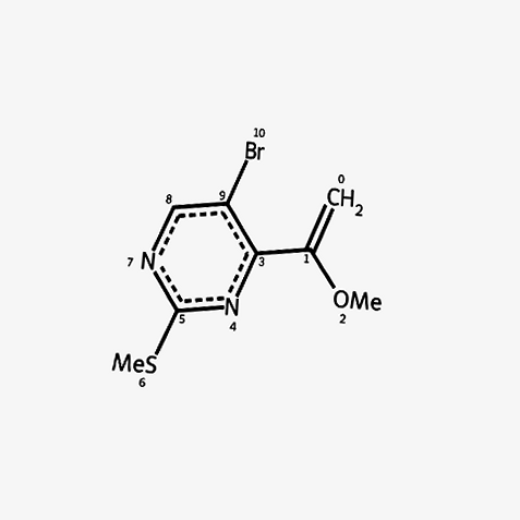 C=C(OC)c1nc(SC)ncc1Br